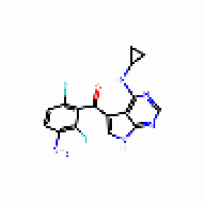 Nc1ccc(F)c(C(=O)c2c[nH]c3ncnc(NC4CC4)c23)c1F